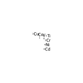 [Cd].[Co].[Cr].[Cu].[Ni].[Ti].[V]